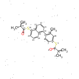 C=C(C)C(=O)Sc1ccc(-c2cccc3c(SC(=O)C(=C)C)cccc23)c(C)c1